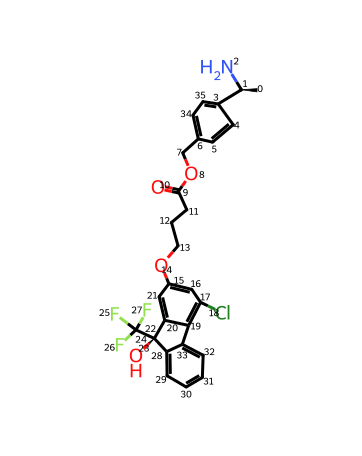 C[C@H](N)c1ccc(COC(=O)CCCOc2cc(Cl)c3c(c2)[C@@](O)(C(F)(F)F)c2ccccc2-3)cc1